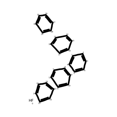 F.c1ccccc1.c1ccccc1.c1ccccc1.c1ccccc1.c1ccccc1